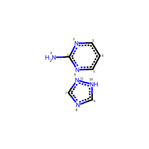 Nc1ncccn1.c1nc[nH]n1